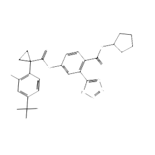 O=C(NC1CCCC1)c1ccc(NC(=O)C2(c3ccc(C(F)(F)F)cc3F)CC2)cc1-c1nnn[nH]1